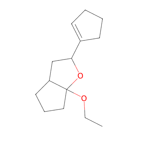 CCOC12CCCC1CC(C1=CCCC1)O2